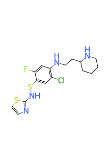 Fc1cc(NCCC2CCCCN2)c(Cl)cc1SNc1nccs1